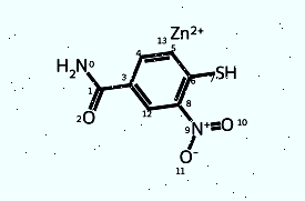 NC(=O)c1ccc(S)c([N+](=O)[O-])c1.[Zn+2]